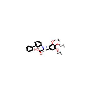 COc1cc(C[C@@H](Nc2cccc(-c3ccccc3)c2)C(=O)O)cc(OC)c1OC